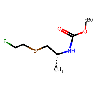 C[C@H](CSCCF)NC(=O)OC(C)(C)C